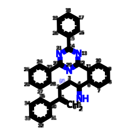 C=C(/C=C\C(=N)c1ccccc1-c1nc(-c2ccccc2)nc(-c2ccccc2)n1)c1ccccc1